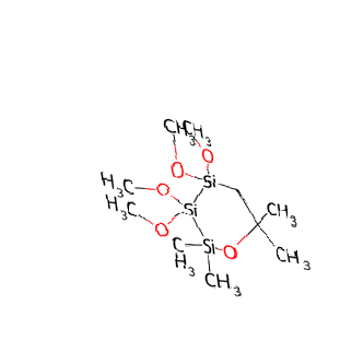 CO[Si]1(OC)CC(C)(C)O[Si](C)(C)[Si]1(OC)OC